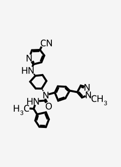 CC(NC(=O)N(c1ccc(-c2cnn(C)c2)cc1)[C@H]1CC[C@H](Nc2ccc(C#N)cn2)CC1)c1ccccc1